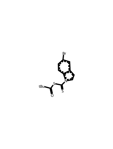 CC(C)(C)C(=O)SC(=S)n1ccc2cc(Br)ccc21